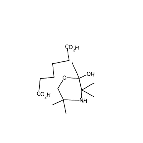 CC1(C)COC(C)(O)C(C)(C)N1.O=C(O)CCCCC(=O)O